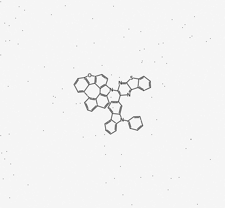 c1ccc(-n2c3ccccc3c3ccc(-c4nc5c(nc4-n4c6ccc7cccc8c7c6c6c7c(ccc64)oc4cccc-8c47)sc4ccccc45)cc32)cc1